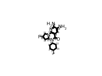 C[C@H]1CC[C@H](NC(=O)c2cc(N)c(N)nc2N2CC[C@@H](F)C2)CC1